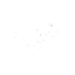 Cc1ccccc1[C@H](CCC(=O)O)C(=O)c1cccc(OCc2cccc(N)c2)c1